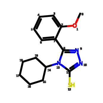 COc1ccccc1-c1nnc(S)n1C1CCCCC1